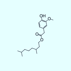 COc1cc(CC(=O)OCCC(C)CCCC(C)C)ccc1O